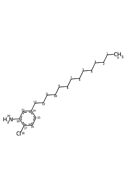 CCCCCCCCCCCCCCc1ccc(Cl)c(N)c1